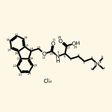 C[N+](C)(C)CCCCC(NC(=O)OCC1c2ccccc2-c2ccccc21)C(=O)O.[Cl-]